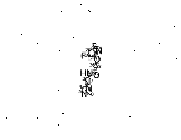 Cc1nccc(N2CC(NC(=O)[C@H]3C[C@H](Oc4cc(F)cc5scnc45)C3)C2)n1